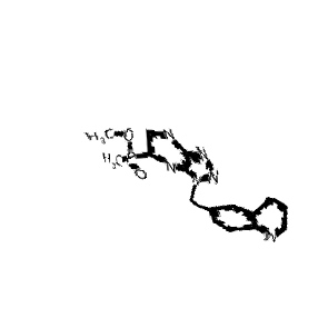 COP(C)(=O)c1cnc2nnn(Cc3ccc4ncccc4c3)c2n1